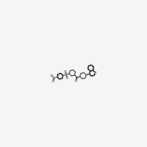 O=C(C1CCCN(S(=O)(=O)c2ccc([N+](=O)[O-])cc2)C1)N1CCN(c2ccnc3ccccc23)CC1